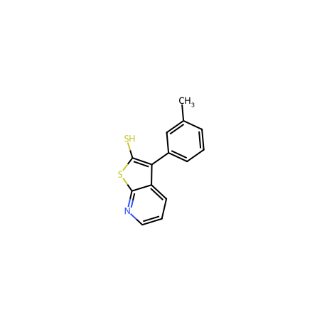 Cc1cccc(-c2c(S)sc3ncccc23)c1